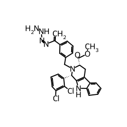 C=C(/N=N\NN)c1cccc(CN2[C@@H](c3cccc(Cl)c3Cl)c3[nH]c4ccccc4c3C[C@H]2C(=O)OC)c1